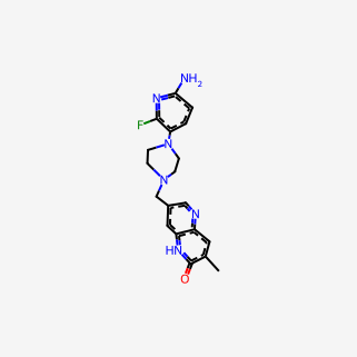 Cc1cc2ncc(CN3CCN(c4ccc(N)nc4F)CC3)cc2[nH]c1=O